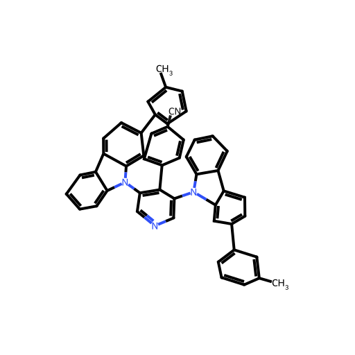 Cc1cccc(-c2ccc3c4ccccc4n(-c4cncc(-n5c6ccccc6c6ccc(-c7cccc(C)c7)cc65)c4-c4ccc(C#N)cc4)c3c2)c1